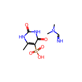 CN(C)C=N.Cc1[nH]c(=O)[nH]c(=O)c1S(=O)(=O)O